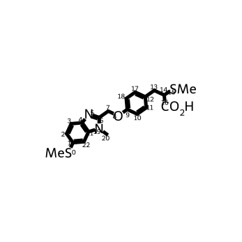 CSc1ccc2nc(COc3ccc(CC(SC)C(=O)O)cc3)n(C)c2c1